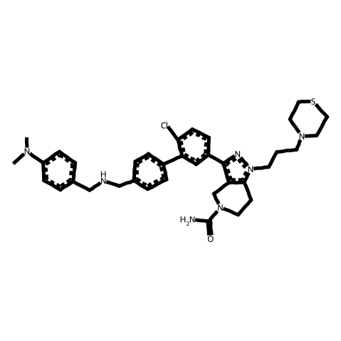 CN(C)c1ccc(CNCc2ccc(-c3cc(-c4nn(CCCN5CCSCC5)c5c4CN(C(N)=O)CC5)ccc3Cl)cc2)cc1